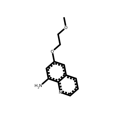 COCCOc1cc(N)c2ncccc2c1